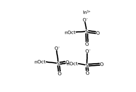 CCCCCCCCS(=O)(=O)[O-].CCCCCCCCS(=O)(=O)[O-].CCCCCCCCS(=O)(=O)[O-].[In+3]